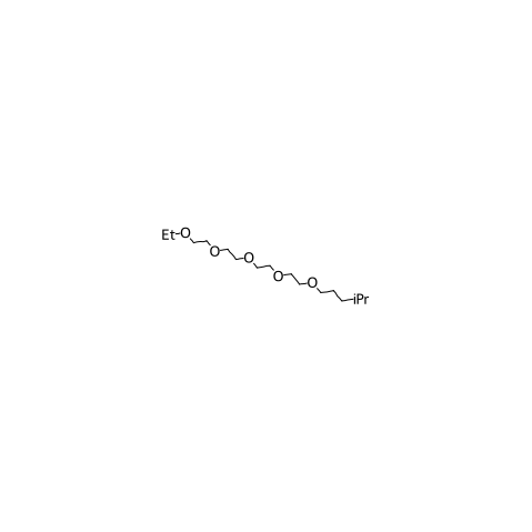 CCOCCOCCOCCOCCOCCCC(C)C